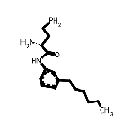 CCCCCCc1cccc(NC(=O)[C@H](N)CCP)c1